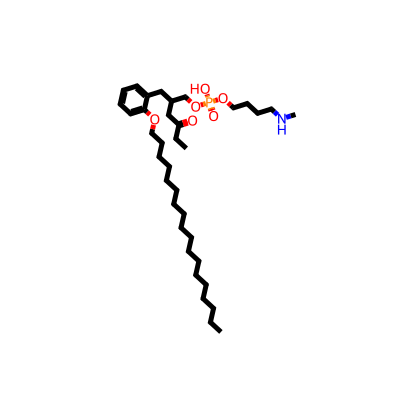 CCCCCCCCCCCCCCCCCCOc1ccccc1CC(COP(=O)(O)OCCCCNC)CC(=O)CC